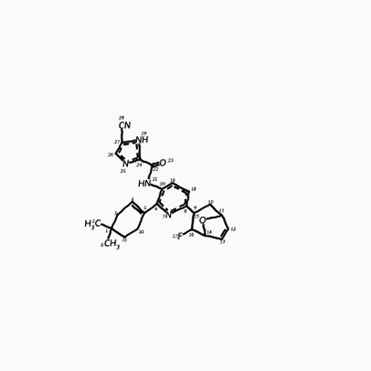 CC1(C)CC=C(c2nc(C3CC4C=CC(O4)C3F)ccc2NC(=O)c2ncc(C#N)[nH]2)CC1